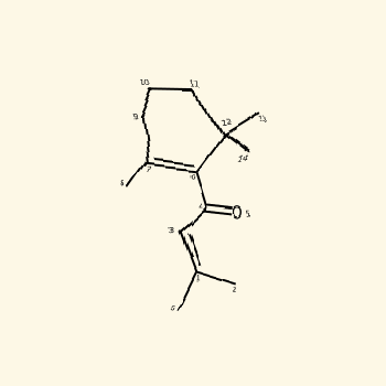 CC(C)=CC(=O)C1=C(C)CCCC1(C)C